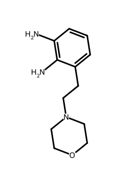 Nc1cccc(CCN2CCOCC2)c1N